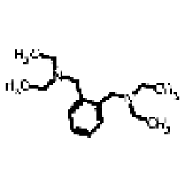 CCN(CC)Cc1ccccc1CN(CC)CC